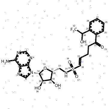 Nc1ncnc2c1ncn2[C@@H]1O[C@H](CNS(=O)(=O)/C=C/CCC(=O)c2ccccc2C(O)C(F)(F)F)[C@@H](O)[C@H]1O